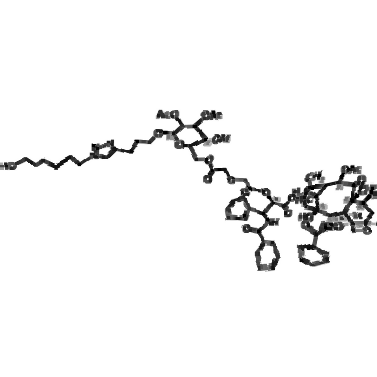 CC(=O)OC1C(OC(C)=O)[C@H](OC(C)=O)C(COC(=O)COCC(=O)O[C@@H](C(=O)O[C@H]2C[C@@]3(O)[C@@H](OC(=O)c4ccccc4)[C@@H]4[C@]5(OC(C)=O)CO[C@@H]5C[C@H](O)[C@@]4(C)C(=O)[C@H](OC(C)=O)C(=C2C)C3(C)C)C(NC(=O)c2ccccc2)c2ccccc2)O[C@H]1OCCCc1cn(CCCCCCO)nn1